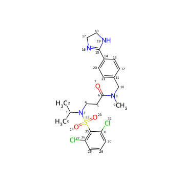 CC(C)N(CCC(=O)N(C)Cc1ccc(C2=NCCN2)cc1)S(=O)(=O)c1c(Cl)cccc1Cl